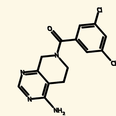 Nc1ncnc2c1CCN(C(=O)c1cc(Cl)cc(Cl)c1)C2